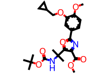 COC(=O)c1nc(-c2ccc(OC)c(OCC3CC3)c2)oc1C(C)(C)NC(=O)OC(C)(C)C